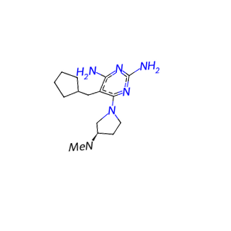 CN[C@@H]1CCN(c2nc(N)nc(N)c2CC2CCCC2)C1